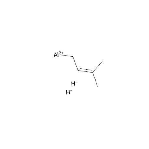 CC(C)=C[CH2][Al+2].[H-].[H-]